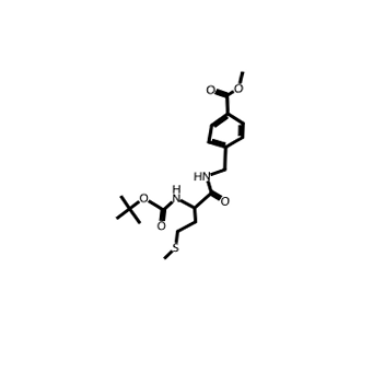 COC(=O)c1ccc(CNC(=O)C(CCSC)NC(=O)OC(C)(C)C)cc1